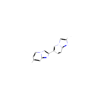 CC(C)(C)c1ccn2cc(-c3ccc4nc(C(C)(C)C)cn4c3)nc2c1